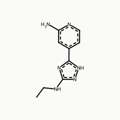 CCNc1n[nH]c(-c2ccnc(N)c2)n1